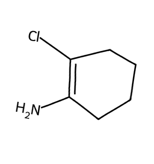 NC1=C(Cl)CCCC1